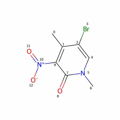 Cc1c(Br)cn(C)c(=O)c1[N+](=O)[O-]